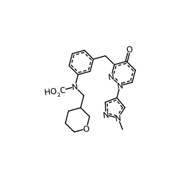 Cn1cc(-n2ccc(=O)c(Cc3cccc(N(CC4CCCOC4)C(=O)O)c3)n2)cn1